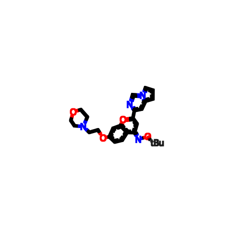 CC(C)(C)ON=c1cc(-c2cc3cccn3cn2)oc2cc(OCCN3CCOCC3)ccc12